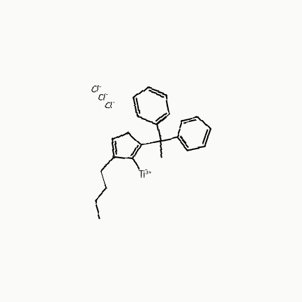 CCCCC1=CCC(C(C)(c2ccccc2)c2ccccc2)=[C]1[Ti+3].[Cl-].[Cl-].[Cl-]